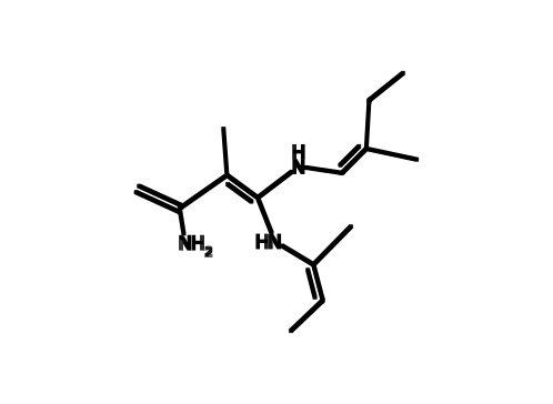 C=C(N)/C(C)=C(/N/C=C(/C)CC)N/C(C)=C\C